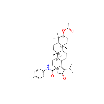 CC(=O)O[C@H]1CC[C@@]2(C)C(CC[C@]3(C)C2CCC2C4=C(C(C)C)C(=O)C[C@]4(C(=O)Nc4ccc(F)cc4)CC[C@]23C)C1(C)C